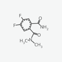 CN(C)C(=O)c1cc(F)c(F)cc1C(N)=O